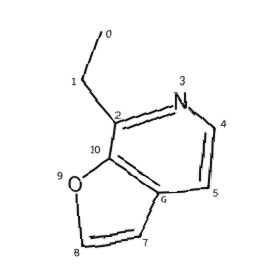 CCc1nccc2ccoc12